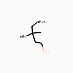 BCCC(C)(CCCC)CCCCCCC